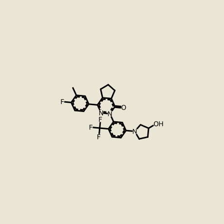 Cc1cc(-c2nn(-c3cc(N4CCC(O)C4)ccc3C(F)(F)F)c(=O)c3c2CCC3)ccc1F